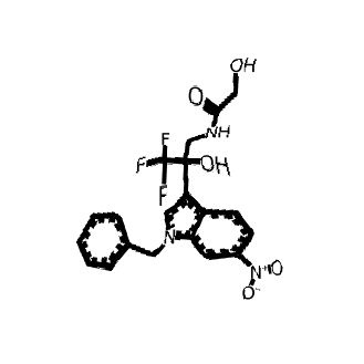 O=C(CO)NCC(O)(c1cn(Cc2ccccc2)c2cc([N+](=O)[O-])ccc12)C(F)(F)F